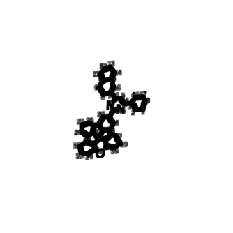 c1ccc(-c2cc(-c3ccc4ccccc4c3)nc(-c3ccc(C4(c5ccccc5)c5ccccc5Oc5ccccc54)cc3)n2)cc1